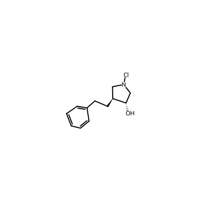 O[C@H]1CN(Cl)C[C@@H]1CCc1ccccc1